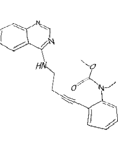 COC(=O)N(C)c1ccccc1C#CCCNc1ncnc2ccccc12